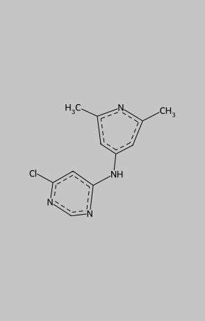 Cc1cc(Nc2cc(Cl)ncn2)cc(C)n1